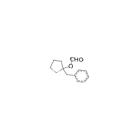 O=COC1(Cc2ccccc2)CCCC1